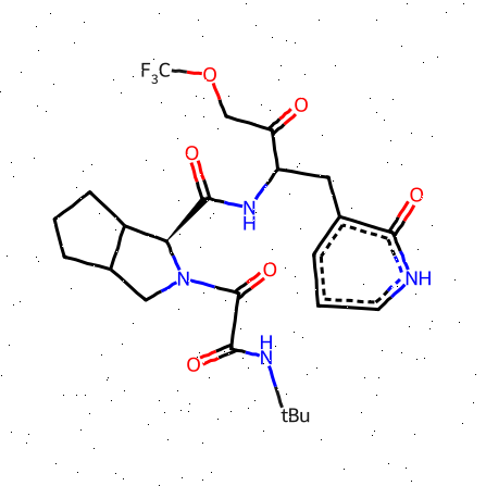 CC(C)(C)NC(=O)C(=O)N1CC2CCCC2[C@H]1C(=O)NC(Cc1ccc[nH]c1=O)C(=O)COC(F)(F)F